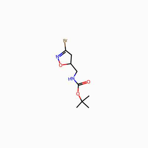 CC(C)(C)OC(=O)NCC1CC(Br)=NO1